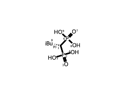 CC[C@@H](C)C(P(=O)(O)O)P(=O)(O)O